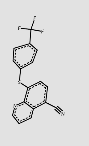 N#Cc1ccc(Sc2ccc(C(F)(F)F)cc2)c2ncccc12